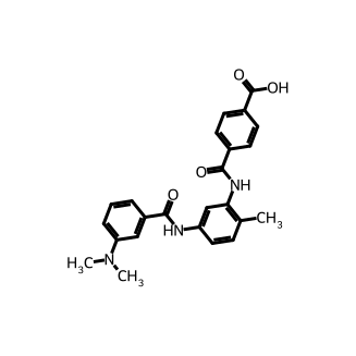 Cc1ccc(NC(=O)c2cccc(N(C)C)c2)cc1NC(=O)c1ccc(C(=O)O)cc1